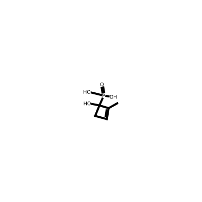 CC1=C[CH]C1(O)P(=O)(O)O